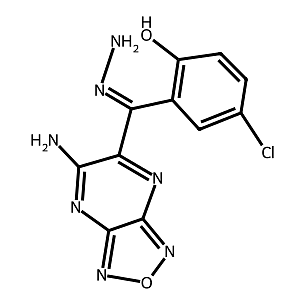 NN=C(c1cc(Cl)ccc1O)c1nc2nonc2nc1N